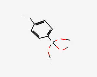 CCO[Si](OCC)(OCC)c1ccc(SC)cc1